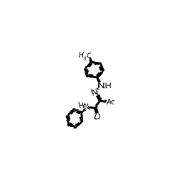 CC(=O)/C(=N\Nc1ccc(C)cc1)C(=O)Nc1ccccc1